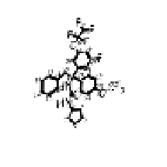 O=C(NC1CCCC1)N[C@@](Cc1ccccc1)(c1ccc(OC(F)(F)F)cc1)c1cc(F)cc(OC(F)(F)C(F)F)c1